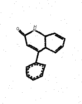 O=C1C=C(c2ccccc2)C2C=CC=CC2N1